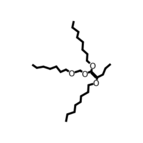 CCCCCCCCOC(CCC)=C(OCCCCCCCC)OCOCCCCCCC